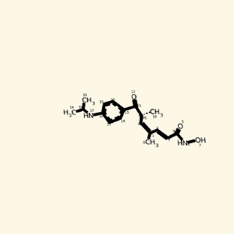 CC(C=CC(=O)NO)=C[C@@H](C)C(=O)c1ccc(NC(C)C)cc1